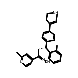 Cc1cc(/C(C[C@H](c2ccc(C3=CCNCC3)cc2)c2ccccc2C)=N/O)ccn1